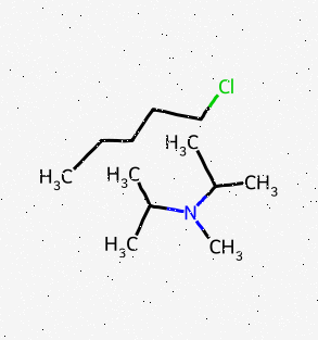 CC(C)N(C)C(C)C.CCCCCCl